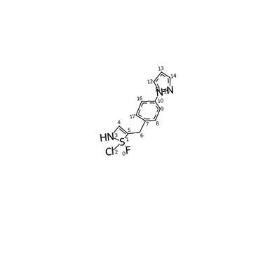 FS1(Cl)NC=C1Cc1ccc(-n2cccn2)cc1